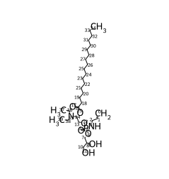 C=CCNP(=O)(OCC(O)CO)OCC(OC(=O)CCCCCCCCCCCCCCCCC)N(CC)CC